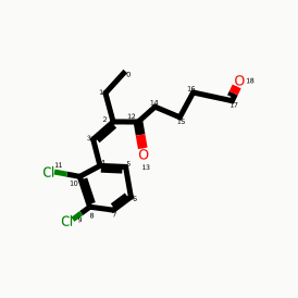 CCC(=Cc1cccc(Cl)c1Cl)C(=O)CCCC=O